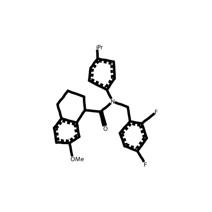 COc1ccc2c(c1)C(C(=O)N(Cc1ccc(F)cc1F)c1ccc(C(C)C)cc1)CCC2